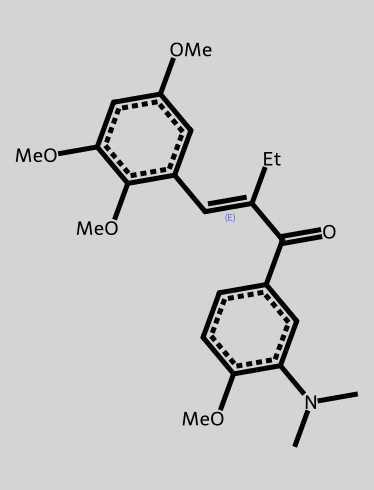 CC/C(=C\c1cc(OC)cc(OC)c1OC)C(=O)c1ccc(OC)c(N(C)C)c1